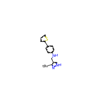 CC(C)(C)c1n[nH]cc1CNc1ccc(-c2cccs2)cc1